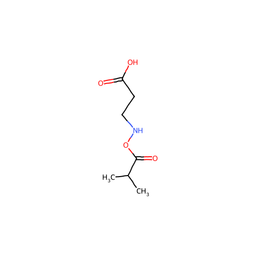 CC(C)C(=O)ONCCC(=O)O